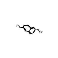 CC(C)Cc1ccc2cc(CC(C)C)ccc2c1